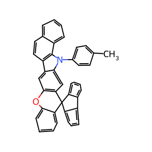 Cc1ccc(-n2c3cc4c(cc3c3ccc5ccccc5c32)Oc2ccccc2C42c3ccccc3-c3ccccc32)cc1